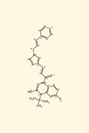 CC(C)(C)N(C(=O)O)c1cc(F)ccc1NC(=O)/C=C/c1cnn(C/C=C/c2ccccc2)c1